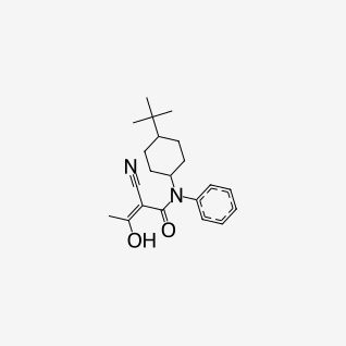 C/C(O)=C(\C#N)C(=O)N(c1ccccc1)C1CCC(C(C)(C)C)CC1